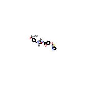 COC(=O)c1ccc(CN2C[C@@H]3C[C@H]2CN3Cc2coc3cc(Oc4nc5ncccc5s4)ccc23)cc1